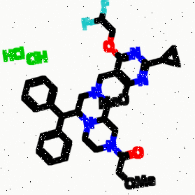 COCC(=O)N1CCN2C(CN(Cc3c(OC)nc(C4CC4)nc3OCC(F)F)CC2C(c2ccccc2)c2ccccc2)C1.Cl.Cl